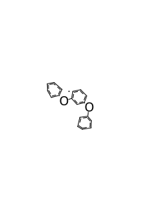 [c]1ccc(Oc2ccccc2)cc1Oc1ccccc1